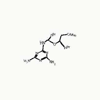 CCCC(COC)OC(CCC)Nc1nc(N)nc(N)n1